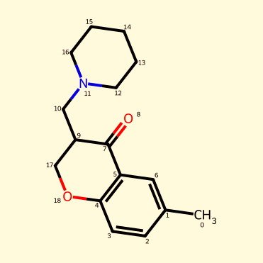 Cc1ccc2c(c1)C(=O)C(CN1CCCCC1)CO2